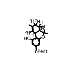 [2H]C1=C(C)C([2H])([2H])C([2H])([2H])[C@]2([2H])[C@@H]1c1c(O)cc(CCCCC)cc1OC2(C)C